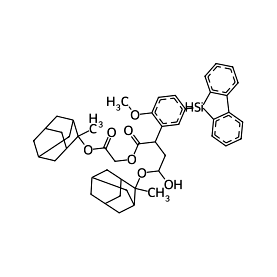 COc1ccc([SiH]2c3ccccc3-c3ccccc32)cc1C(CC(O)OC1(C)C2CC3CC(C2)CC1C3)C(=O)OCC(=O)OC1(C)C2CC3CC(C2)CC1C3